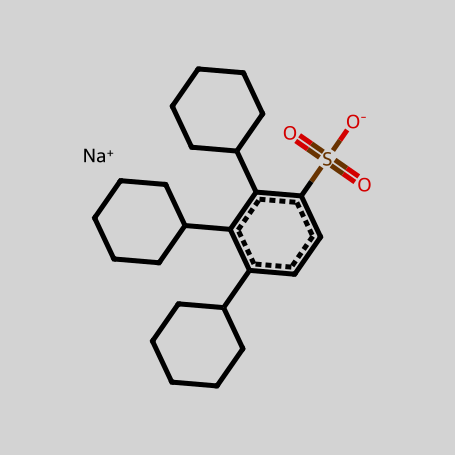 O=S(=O)([O-])c1ccc(C2CCCCC2)c(C2CCCCC2)c1C1CCCCC1.[Na+]